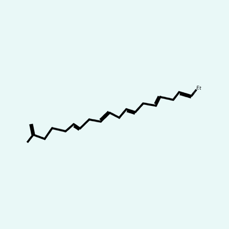 C=C(C)CCC/C=C/C/C=C/C/C=C/C/C=C/C/C=C/CC